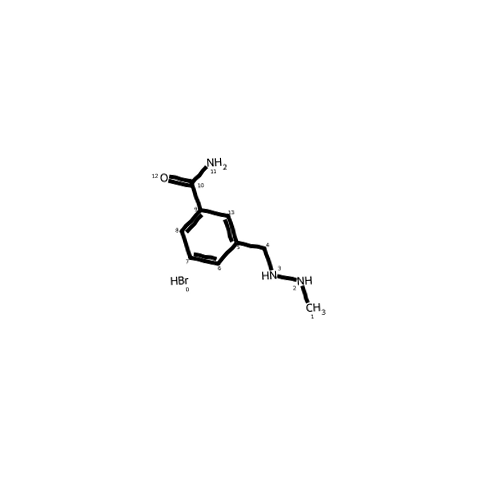 Br.CNNCc1cccc(C(N)=O)c1